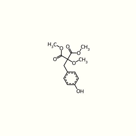 COC(=O)C(Cc1ccc(O)cc1)(OC)C(=O)OC